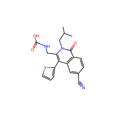 CC(C)Cn1c(CNC(=O)O)c(-c2cccs2)c2cc(C#N)ccc2c1=O